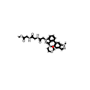 COC(=O)CNC(=O)CNC(=O)Cn1nc(N2CCOCC2)c2c(-c3cc4c(cnn4C)cc3F)cccc21